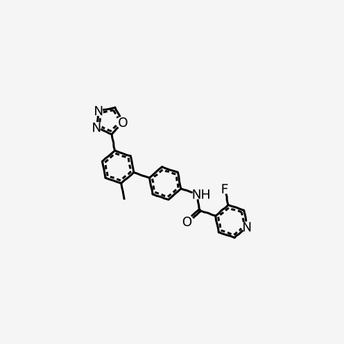 Cc1ccc(-c2nnco2)cc1-c1ccc(NC(=O)c2ccncc2F)cc1